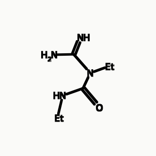 CCNC(=O)N(CC)C(=N)N